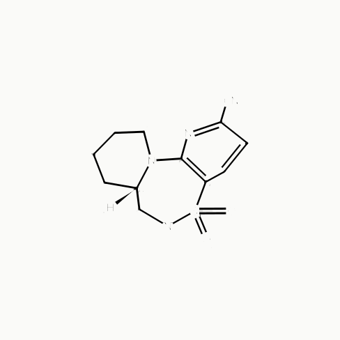 N#Cc1ccc2c(n1)N1CCCC[C@H]1CNS2(=O)=O